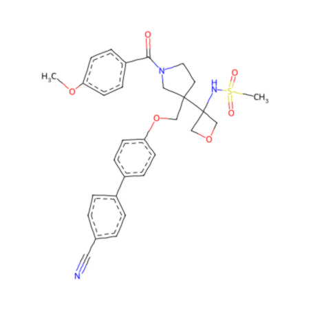 COc1ccc(C(=O)N2CCC(COc3ccc(-c4ccc(C#N)cc4)cc3)(C3(NS(C)(=O)=O)COC3)C2)cc1